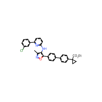 CCOC(=O)C1(c2ccc(-c3ccc(-c4onc(C)c4Nc4cccc(-c5cccc(Cl)c5)n4)cc3)cc2)CC1